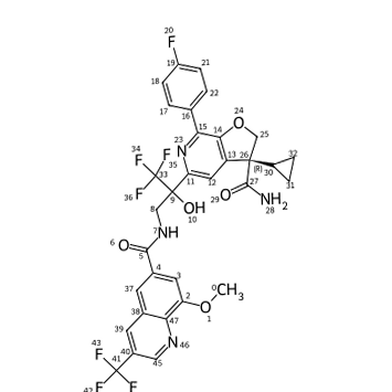 COc1cc(C(=O)NCC(O)(c2cc3c(c(-c4ccc(F)cc4)n2)OC[C@@]3(C(N)=O)C2CC2)C(F)(F)F)cc2cc(C(F)(F)F)cnc12